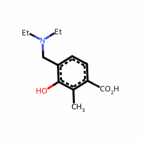 CCN(CC)Cc1ccc(C(=O)O)c(C)c1O